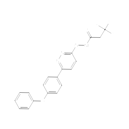 O=C(CC(F)(F)F)NNc1ccc(-c2ccc(Oc3ccccc3)cc2)nn1